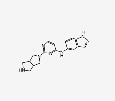 c1cc(Nc2ccc3[nH]ncc3c2)nc(N2CC3CNCC3C2)n1